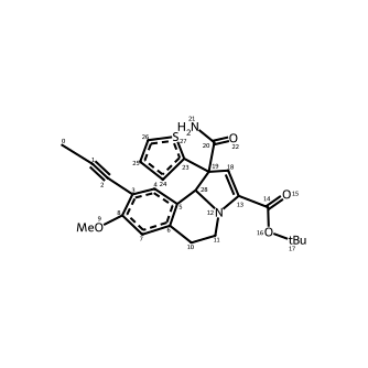 CC#Cc1cc2c(cc1OC)CCN1C(C(=O)OC(C)(C)C)=CC(C(N)=O)(c3cccs3)C21